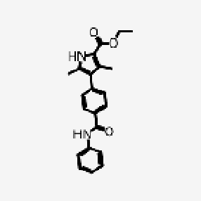 CCOC(=O)c1[nH]c(C)c(-c2ccc(C(=O)Nc3ccccc3)cc2)c1C